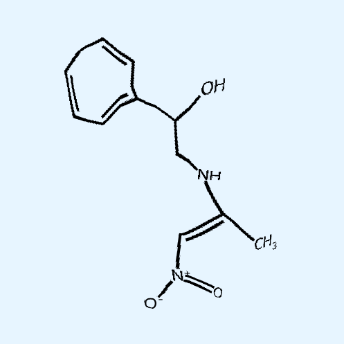 CC(=C[N+](=O)[O-])NCC(O)c1ccccc1